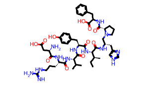 CC[C@H](C)[C@H](NC(=O)[C@H](Cc1ccc(O)cc1)NC(=O)[C@@H](NC(=O)[C@H](CCCNC(=N)N)NC(=O)[C@@H](N)CC(=O)O)C(C)C)C(=O)N[C@@H](Cc1c[nH]cn1)CN1CCC[C@H]1C(=O)NC(Cc1ccccc1)C(=O)O